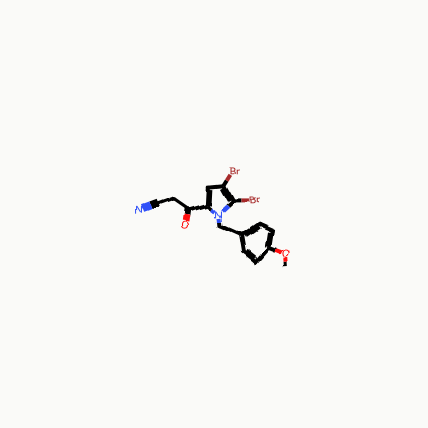 COc1ccc(Cn2c(C(=O)CC#N)cc(Br)c2Br)cc1